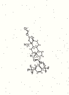 C[C@]1(CCOC=O)C(=O)CCC2C1CC[C@@]1(C)C2CC[C@@H]1C(=O)Nc1cc(C(F)(F)F)ccc1C(F)(F)F